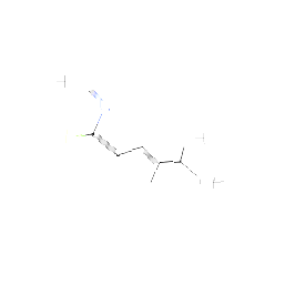 C=N/C(F)=C\C=C(/C)C(C)C